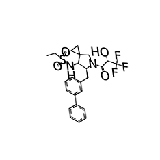 CCS(=O)(=O)N[C@@H]1[C@H](Cc2cccc(-c3ccccc3)c2)N(C(=O)[C@H](O)C(F)(F)F)CC12CC2